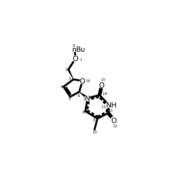 CCCCOC[C@@H]1C=C[C@H](n2cc(C)c(=O)[nH]c2=O)O1